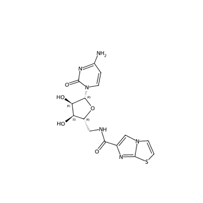 Nc1ccn([C@@H]2O[C@H](CNC(=O)c3cn4ccsc4n3)[C@@H](O)[C@H]2O)c(=O)n1